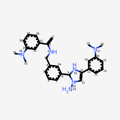 C=C(NCc1cccc(C2NC(c3cccc(N(C)C)c3)=CN2N)c1)c1cccc(N(C)C)c1